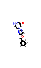 OC1CNCCN(c2ncc(OCc3ccccc3)cn2)C1